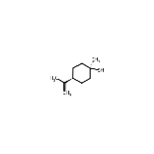 C=C(C)[C@H]1CC[C@@](C)(S)CC1